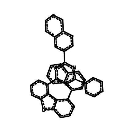 c1ccc(-c2nc(-c3ccc4ccccc4c3)nc(-c3cccc4oc5cccc(-c6cccc7ccccc67)c5c34)n2)cc1